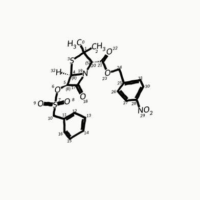 CC1(C)S[C@@H]2[C@H](OS(=O)(=O)Cc3ccccc3)C(=O)N2[C@H]1C(=O)OCc1ccc([N+](=O)[O-])cc1